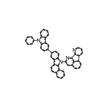 c1ccc(-n2c3ccccc3c3cc(-c4ccc5c(c4)c4ccc6ccccc6c4n5-c4cc5cccc6c5c(n4)-c4ncccc4-6)ccc32)cc1